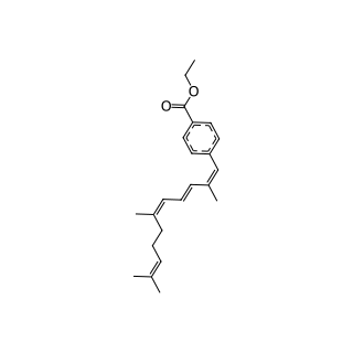 CCOC(=O)c1ccc(C=C(C)C=CC=C(C)CCC=C(C)C)cc1